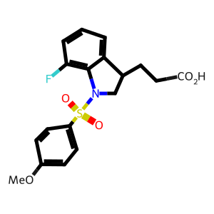 COc1ccc(S(=O)(=O)N2CC(CCC(=O)O)c3cccc(F)c32)cc1